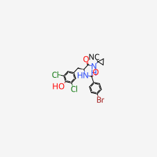 N#CC1(NC(=O)[C@H](Cc2cc(Cl)c(O)c(Cl)c2)NC(=O)c2ccc(Br)cc2)CC1